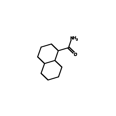 NC(=O)C1CCCC2CCCCC21